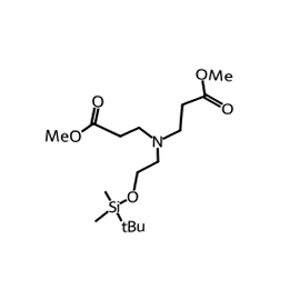 COC(=O)CCN(CCO[Si](C)(C)C(C)(C)C)CCC(=O)OC